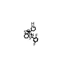 O=C(C1CCCNC1)N1N=C(c2cc(F)ccc2F)SC12CCCc1sccc12